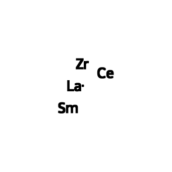 [Ce].[La].[Sm].[Zr]